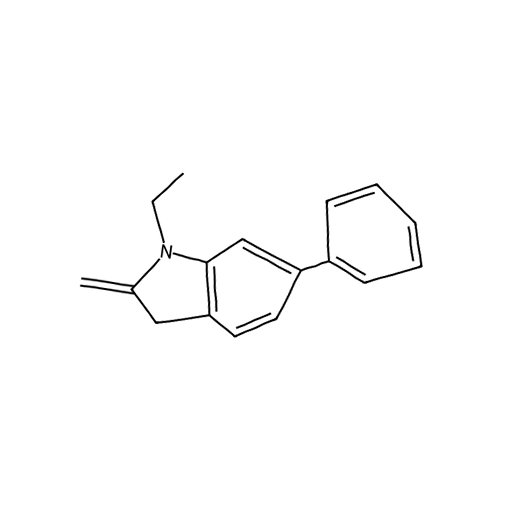 C=C1Cc2ccc(-c3ccccc3)cc2N1CC